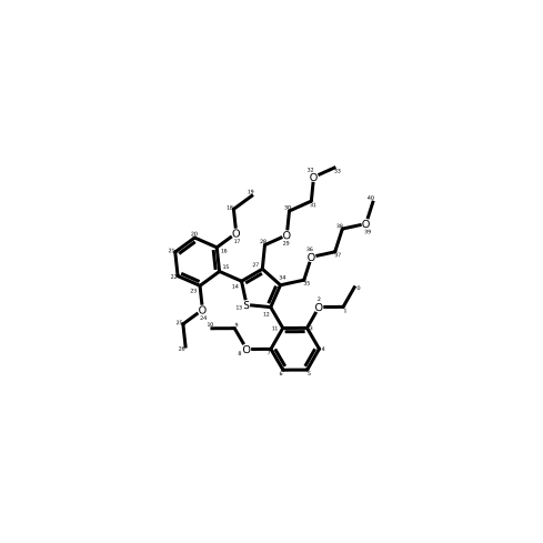 CCOc1cccc(OCC)c1-c1sc(-c2c(OCC)cccc2OCC)c(COCCOC)c1COCCOC